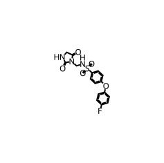 O=C1CNC(=O)N1CNS(=O)(=O)c1ccc(Oc2ccc(F)cc2)cc1